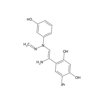 C=NN(/C=C(\N)c1cc(C(C)C)c(O)cc1O)c1cccc(O)c1